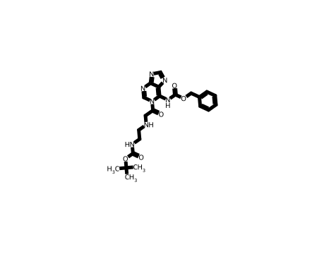 CC(C)(C)OC(=O)NCCNCC(=O)n1cnc2ncnc-2c1NC(=O)OCc1ccccc1